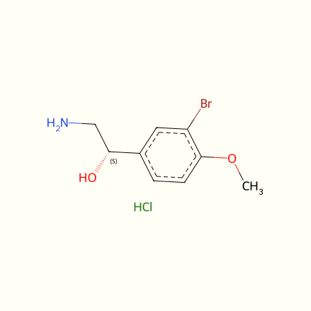 COc1ccc([C@H](O)CN)cc1Br.Cl